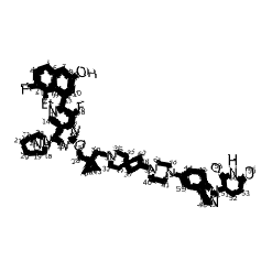 CCc1c(F)ccc2cc(O)cc(-c3ncc4c(N5CC6CCC(C5)N6)nc(OCC5(CN6CCC7(CC6)CC(N6CCN(c8ccc9c(cnn9C9CCC(=O)NC9=O)c8)CC6)C7)CC5)nc4c3F)c12